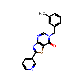 O=c1c2sc(-c3cccnc3)nc2ncn1Cc1cccc(C(F)(F)F)c1